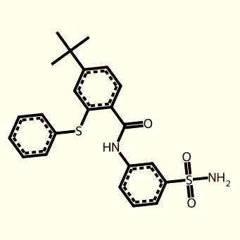 CC(C)(C)c1ccc(C(=O)Nc2cccc(S(N)(=O)=O)c2)c(Sc2ccccc2)c1